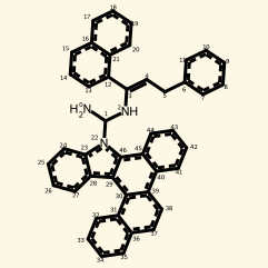 NC(N/C(=C\Cc1ccccc1)c1cccc2ccccc12)n1c2ccccc2c2c3c4ccccc4ccc3c3ccccc3c21